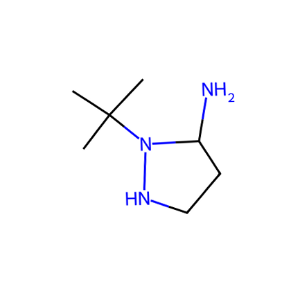 CC(C)(C)N1NCCC1N